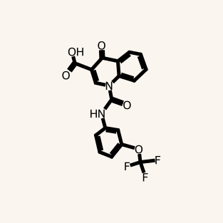 O=C(O)c1cn(C(=O)Nc2cccc(OC(F)(F)F)c2)c2ccccc2c1=O